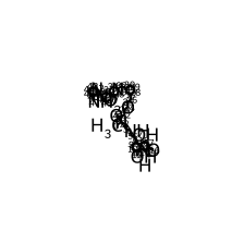 CN(CCNC[C@H](O)c1ccc(O)c2[nH]c(=O)ccc12)C(=O)CCOCCc1cccc(CN2CCC3(CC2)CN(c2ncccc2N)CCO3)c1